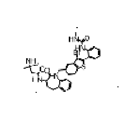 CNC(=O)Nc1ccccc1-c1sc2ccc(CN3C(=O)[C@H](NC(=O)CC(C)(C)N)CCc4ccccc43)cc2c1Br